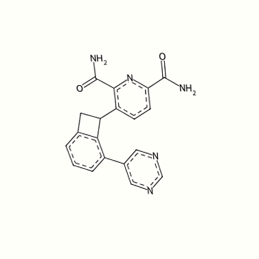 NC(=O)c1ccc(C2Cc3cccc(-c4cncnc4)c32)c(C(N)=O)n1